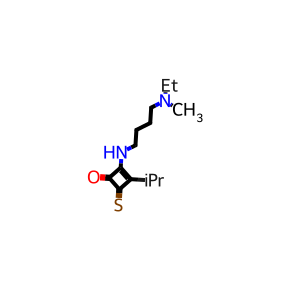 CCN(C)CCCCNc1c(C(C)C)c(=S)c1=O